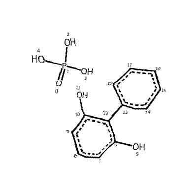 O=P(O)(O)O.Oc1cccc(O)c1-c1ccccc1